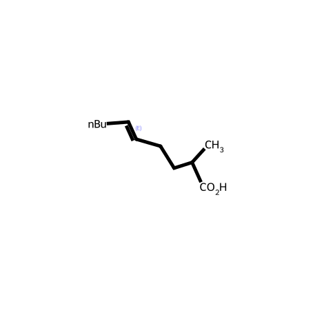 CCCC/C=C/CCC(C)C(=O)O